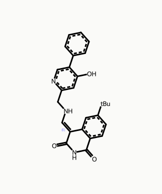 CC(C)(C)c1ccc2c(c1)/C(=C\NCc1cc(O)c(-c3ccccc3)cn1)C(=O)NC2=O